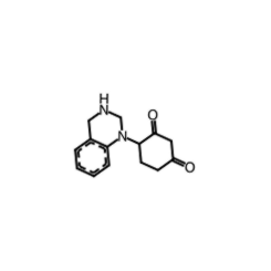 O=C1CCC(N2CNCc3ccccc32)C(=O)C1